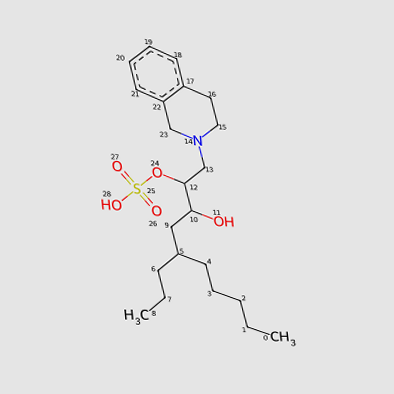 CCCCCC(CCC)CC(O)C(CN1CCc2ccccc2C1)OS(=O)(=O)O